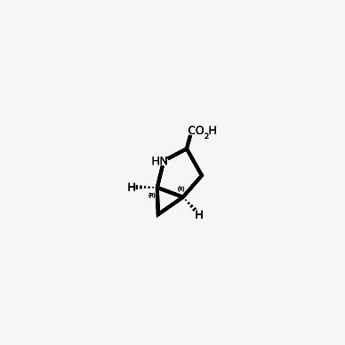 O=C(O)C1C[C@H]2C[C@H]2N1